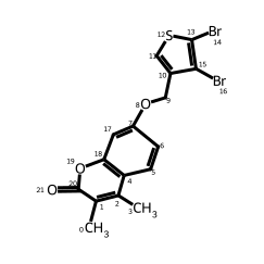 Cc1c(C)c2ccc(OCc3csc(Br)c3Br)cc2oc1=O